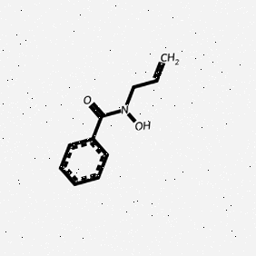 C=CCN(O)C(=O)c1ccccc1